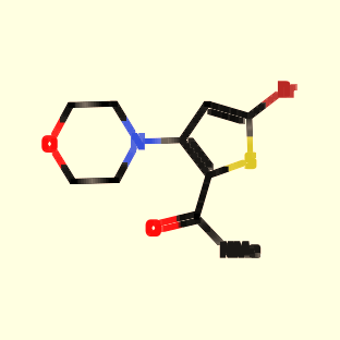 CNC(=O)c1sc(Br)cc1N1CCOCC1